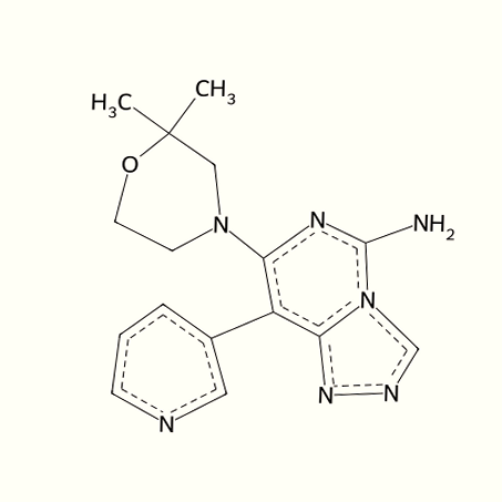 CC1(C)CN(c2nc(N)n3cnnc3c2-c2cccnc2)CCO1